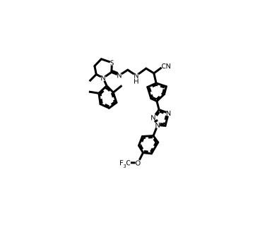 Cc1cccc(C)c1N1/C(=N/CNCC(C#N)c2ccc(-c3ncn(-c4ccc(OC(F)(F)F)cc4)n3)cc2)SCCC1C